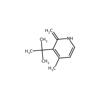 C=C1NC=CC(C)=C1C(C)(C)C